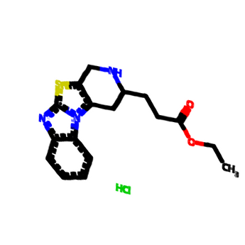 CCOC(=O)CCC1Cc2c(sc3nc4ccccc4n23)CN1.Cl